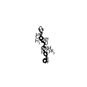 CC1=CC(Oc2ccccc2F)CC(F)=C1n1ncc(C(=O)c2cc3cc(C)c(NSN4CCOCC4)cc3[nH]2)c1N